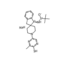 Cc1nc(N2CCC3(CC2)Cc2ccccc2[C@H]3N[S+]([O-])C(C)(C)C)cnc1S.[NaH]